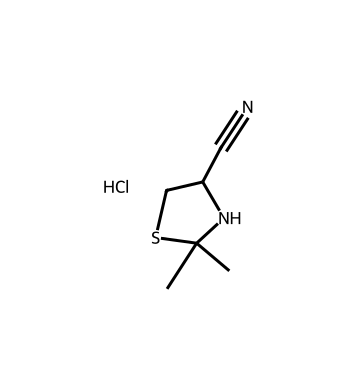 CC1(C)NC(C#N)CS1.Cl